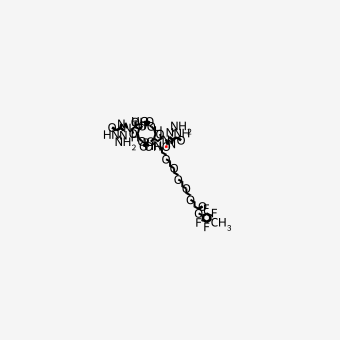 Cc1c(F)c(F)c(OC(=O)CCOCCOCCOCCOCCOCCC(=O)N[C@H]2C3OP(=O)(O)OC[C@H]4O[C@@H](n5cnc6c(=O)[nH]c(N)nc65)C(O)[C@H]4OP(=O)(O)OC[C@H]3O[C@H]2n2cnc3c(=O)[nH]c(N)nc32)c(F)c1F